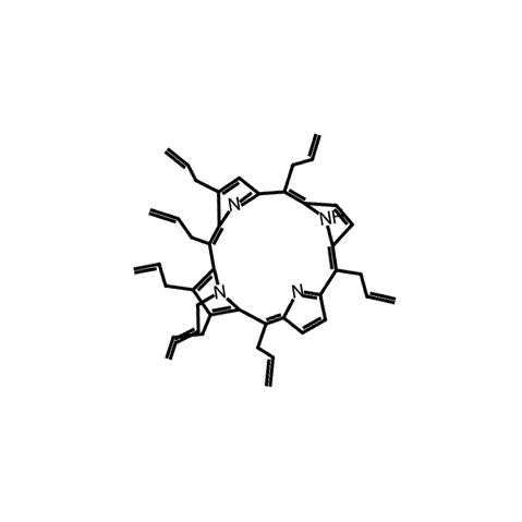 C=CCC1=Cc2nc1c(CC=C)c1c(CC=C)c(CC=C)c(c(CC=C)c3nc(c(CC=C)c4ccc([nH]4)c2CC=C)C=C3)n1CC=C